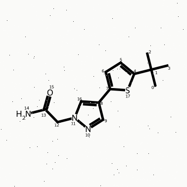 CC(C)(C)c1ccc(-c2cnn(CC(N)=O)c2)s1